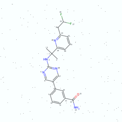 CC(C)(Nc1ncc(-c2cccc(C(N)=O)c2)cn1)c1cccc(CC(F)F)n1